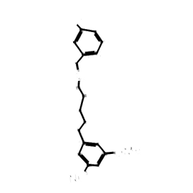 COc1cc(C#N)cc(CCCCCCCc2cccc(F)c2)c1